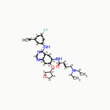 C#Cc1cc(F)cc(Nc2ncnc3cc(OC4CCOC4)c(NC(=O)/C=C/CN(CC)CC)cc23)c1